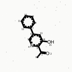 CC(=O)c1ncc(-c2ccccc2)cc1O